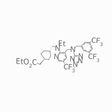 CCOC(=O)C[C@H]1CC[C@H](CN(CC)c2ncc(C(F)(F)F)cc2CN(Cc2cc(C(F)(F)F)cc(C(F)(F)F)c2)c2nnn(C)n2)CC1